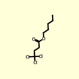 CCCCCOC(=O)CCC(Cl)(Cl)Cl